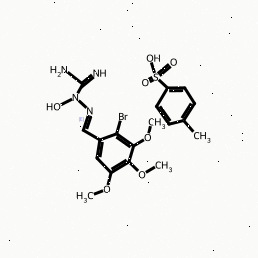 COc1cc(/C=N/N(O)C(=N)N)c(Br)c(OC)c1OC.Cc1ccc(S(=O)(=O)O)cc1